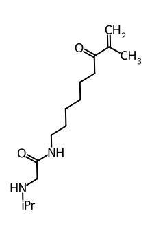 C=C(C)C(=O)CCCCCCNC(=O)CNC(C)C